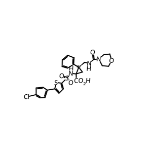 O=C(NC[C@@]1(c2ccccc2)CC1(NS(=O)(=O)c1ccc(-c2ccc(Cl)cc2)s1)C(=O)O)N1CCOCC1